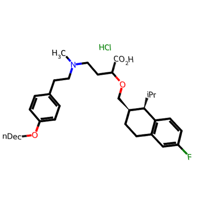 CCCCCCCCCCOc1ccc(CCN(C)CCC(OC[C@@H]2CCc3cc(F)ccc3[C@@H]2C(C)C)C(=O)O)cc1.Cl